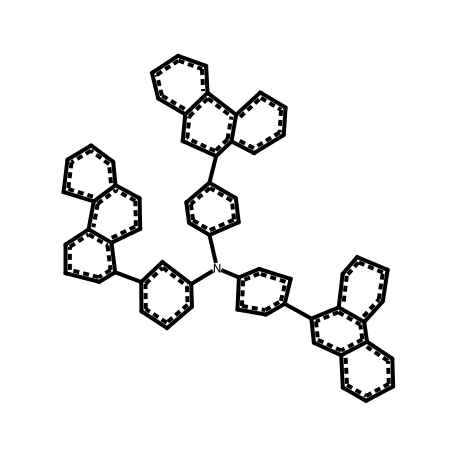 c1cc(-c2cccc3c2ccc2ccccc23)cc(N(c2ccc(-c3cc4ccccc4c4ccccc34)cc2)c2ccc(-c3cc4ccccc4c4ccccc34)cc2)c1